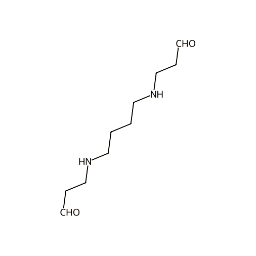 O=CCCNCCCCNCCC=O